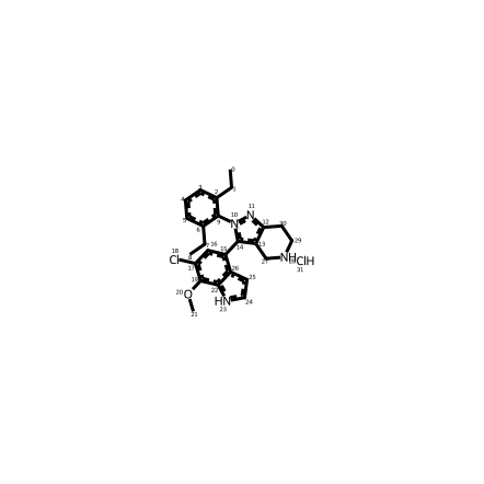 CCc1cccc(CC)c1-n1nc2c(c1-c1cc(Cl)c(OC)c3[nH]ccc13)CNCC2.Cl